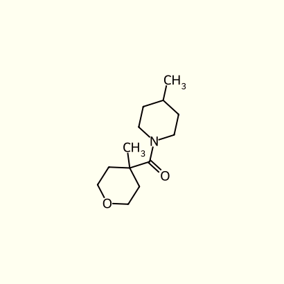 CC1CCN(C(=O)C2(C)CCOCC2)CC1